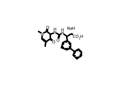 CC1=CN(C)C(=O)C(NC(=O)NC(CC(=O)O)c2cccc(-c3ccccc3)c2)C1=O.[NaH]